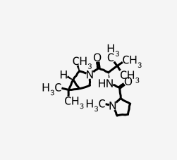 C[C@@H]1[C@@H]2C(CN1C(=O)[C@@H](NC(=O)C1CCCN1C)C(C)(C)C)C2(C)C